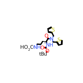 CC(C)(C)OC(=O)N[C@@H](CCCNC(=O)O)C(=O)N(Cc1cccs1)Cc1cccs1